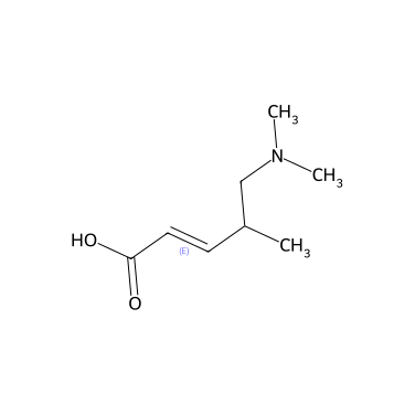 CC(/C=C/C(=O)O)CN(C)C